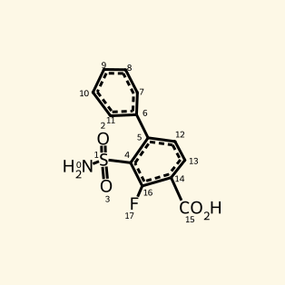 NS(=O)(=O)c1c(-c2ccccc2)ccc(C(=O)O)c1F